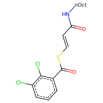 CCCCCCCCNC(=O)C=CSC(=O)c1cccc(Cl)c1Cl